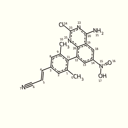 Cc1cc(/C=C/C#N)cc(C)c1-c1cc([N+](=O)O)cc2c(N)nc(Cl)nc12